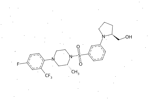 C[C@@H]1CN(c2ccc(F)cc2C(F)(F)F)CCN1S(=O)(=O)c1cccc(N2CCC[C@H]2CO)c1